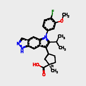 COc1cc(-n2c(C(C)C)c(C3CC[C@@](C)(C(=O)O)C3)c3cc4[nH]ncc4cc32)ccc1F